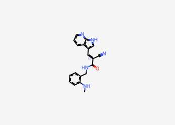 CNc1ccccc1CNC(=O)/C(C#N)=C/c1c[nH]c2ncccc12